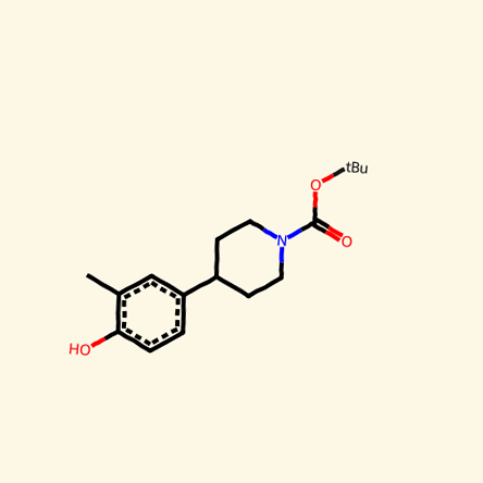 Cc1cc(C2CCN(C(=O)OC(C)(C)C)CC2)ccc1O